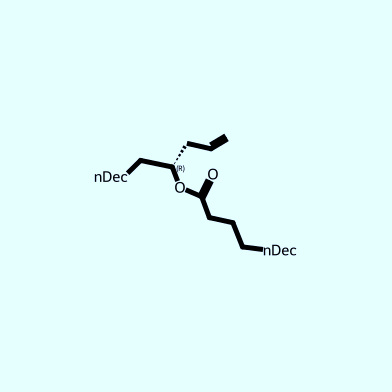 C=CC[C@@H](CCCCCCCCCCC)OC(=O)CCCCCCCCCCCCC